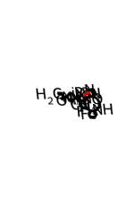 C=CC(=O)N1CCN(c2nc(=O)n3c4nc(c(F)cc24)-c2c(F)cccc2NCCOc2ncnc(C(C)C)c2-3)[C@@H](C)C1